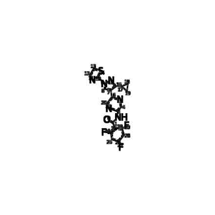 O=C(Nc1cnc(-c2cn(-c3nccs3)nc2C2CC2)cn1)c1c(F)cc(F)cc1F